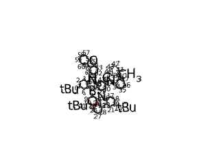 CC(C)(C)c1ccc2c(c1)B1c3cc(C(C)(C)C)ccc3N(c3ccc(C(C)(C)C)cc3-c3ccccc3)c3cc(N4c5ccccc5C5(C)CCCCC45C)cc(c31)N2c1ccc2oc3ccccc3c2c1